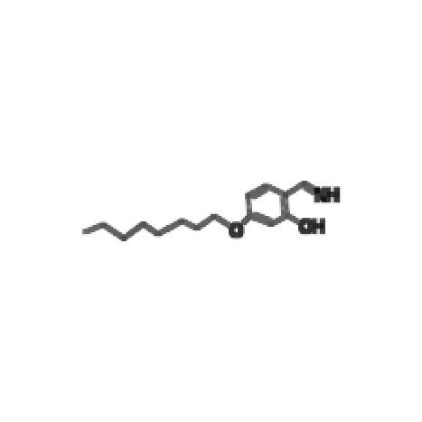 CCCCCCCCOc1ccc(C=N)c(O)c1